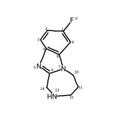 Fc1ccc2nc3n(c2c1)CCCNC3